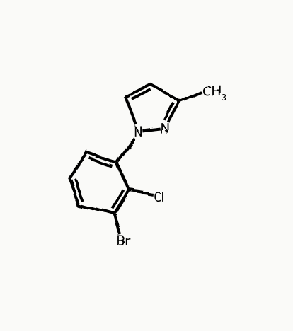 Cc1ccn(-c2cccc(Br)c2Cl)n1